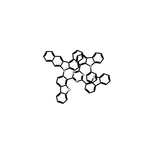 c1ccc(-n2c3ccccc3c3cccc(-c4nc(-c5c(-n6c7cc8ccccc8cc7c7c8ccccc8ccc76)ccc6c5oc5ccccc56)nc(-c5cccc6c5sc5ccccc56)n4)c32)cc1